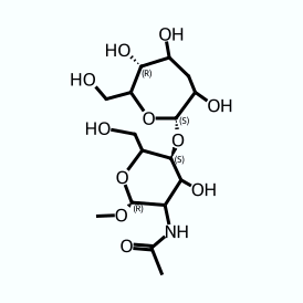 CO[C@@H]1OC(CO)[C@@H](O[C@@H]2OC(CO)[C@H](O)C(O)CC2O)C(O)C1NC(C)=O